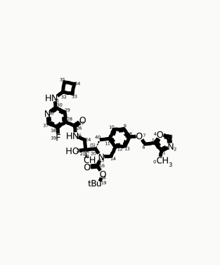 Cc1ncoc1COc1ccc2c(c1)CN(C(=O)OC(C)(C)C)[C@H]([C@@](C)(O)CNC(=O)c1cc(NC3CCC3)ncc1F)C2